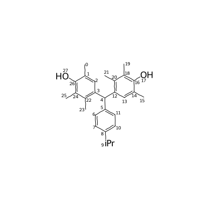 Cc1cc(C(c2ccc(C(C)C)cc2)c2cc(C)c(O)c(C)c2C)c(C)c(C)c1O